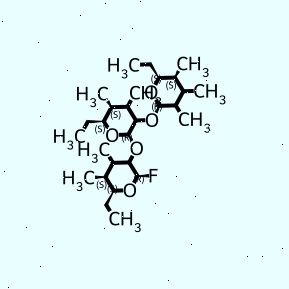 CC[C@@H]1O[C@H](OC2C(C)[C@H](C)[C@H](CC)O[C@@H]2OC2C(C)[C@H](C)[C@H](CC)O[C@@H]2F)C(C)C(C)[C@@H]1C